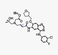 C[C@@H](O)CN(C/C=C/C(=O)Nc1cc2c(Nc3ccc(F)c(Cl)c3)ncnc2cc1OCC1CCOC1)CC(=O)OC(C)(C)C